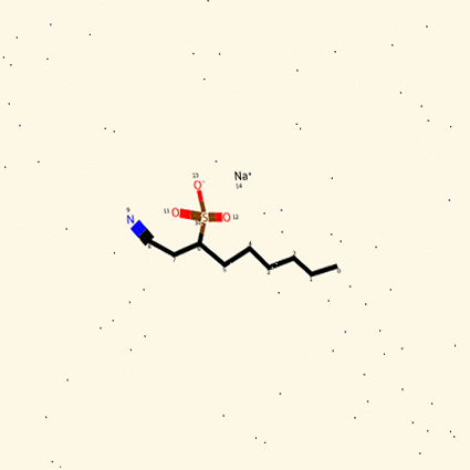 CCCCCCC(CC#N)S(=O)(=O)[O-].[Na+]